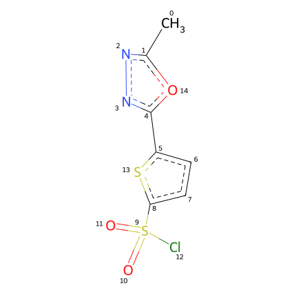 Cc1nnc(-c2ccc(S(=O)(=O)Cl)s2)o1